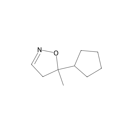 CC1(C2CCCC2)CC=NO1